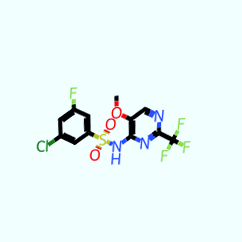 COc1cnc(C(F)(F)F)nc1NS(=O)(=O)c1cc(F)cc(Cl)c1